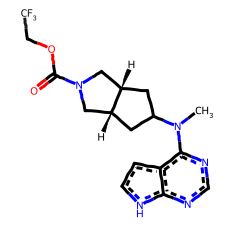 CN(c1ncnc2[nH]ccc12)C1C[C@@H]2CN(C(=O)OCC(F)(F)F)C[C@@H]2C1